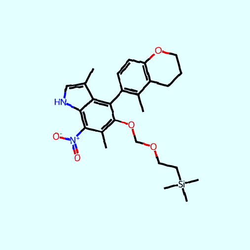 Cc1c(-c2c(OCOCC[Si](C)(C)C)c(C)c([N+](=O)[O-])c3[nH]cc(C)c23)ccc2c1CCCO2